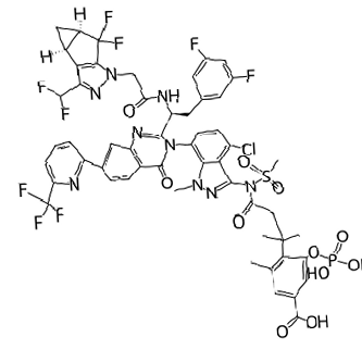 Cc1cc(C(=O)O)cc(OP(=O)(O)O)c1C(C)(C)CC(=O)N(c1nn(C)c2c(-n3c([C@H](Cc4cc(F)cc(F)c4)NC(=O)Cn4nc(C(F)F)c5c4C(F)(F)[C@@H]4C[C@H]54)nc4cc(-c5cccc(C(F)(F)F)n5)ccc4c3=O)ccc(Cl)c12)S(C)(=O)=O